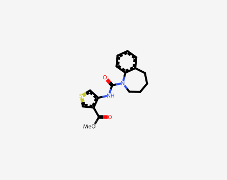 COC(=O)c1cscc1NC(=O)N1CCCCc2ccccc21